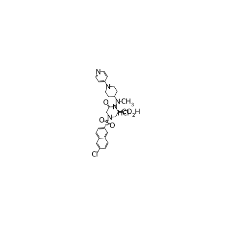 CN(C1CCN(c2ccncc2)CC1)N1C(=O)CN(S(=O)(=O)c2ccc3cc(Cl)ccc3c2)CC1C(=O)O.Cl